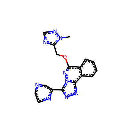 Cn1ncnc1COc1nn2c(-c3cnccn3)nnc2c2ccccc12